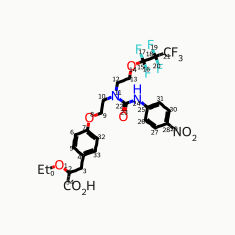 CCOC(Cc1ccc(OCCN(CCOC(F)(F)C(F)(F)C(F)(F)F)C(=O)Nc2ccc([N+](=O)[O-])cc2)cc1)C(=O)O